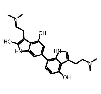 CN(C)CCc1c(O)[nH]c2cc(-c3ccc(O)c4c(CCN(C)C)c[nH]c34)cc(O)c12